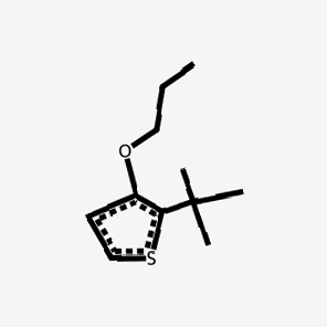 CCCOc1ccsc1C(C)(C)C